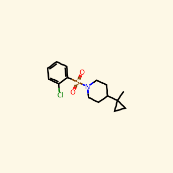 CC1(C2CCN(S(=O)(=O)c3ccccc3Cl)CC2)CC1